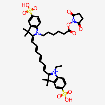 CC[N+]1=C(/C=C/C=C/C=C/C=C2\N(CCCCCC(=O)ON3C(=O)CCC3=O)c3ccc(S(=O)(=O)O)cc3C2(C)C)C(C)(C)c2cc(S(=O)(=O)O)ccc21